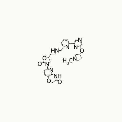 CN1CCC(Oc2cncc(-c3cccc(CNCCC4CN(c5ccc6c(n5)NC(=O)CO6)C(=O)O4)n3)n2)C1